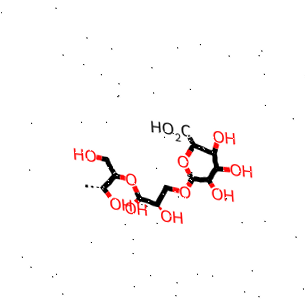 C[C@@H](O)C(CO)OC(O)[C@@H](O)COC1OC(C(=O)O)C(O)C(O)C1O